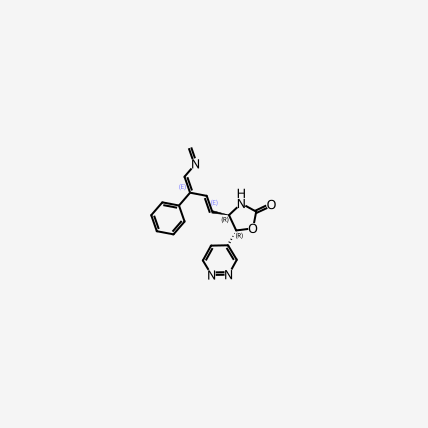 C=N/C=C(\C=C\[C@H]1NC(=O)O[C@@H]1c1ccnnc1)c1ccccc1